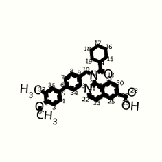 COc1ccc(-c2ccc(CN(C(=O)C3CCCCC3)c3nccc4cc(C(=O)O)ccc34)cc2)cc1C